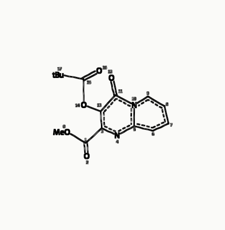 COC(=O)c1nc2ccccn2c(=O)c1OC(=O)C(C)(C)C